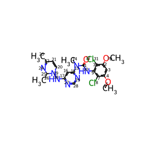 COc1cc(OC)c(Cl)c(NC(=O)N(C)c2cc(NN3C=CC(C)=NC3C)ncn2)c1Cl